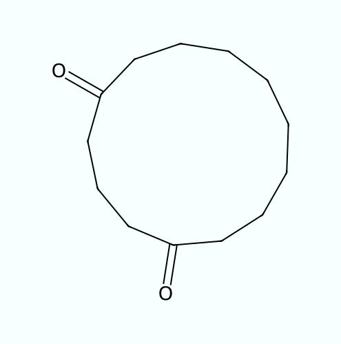 O=C1CCCCCCCCC(=O)CCC1